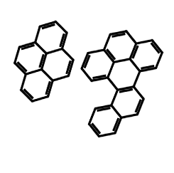 c1cc2ccc3cccc4ccc(c1)c2c34.c1ccc2c(c1)ccc1c3cccc4ccc5cccc(c21)c5c43